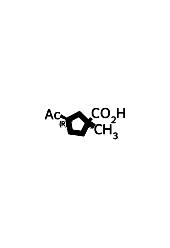 CC(=O)[C@@H]1CC[C@](C)(C(=O)O)C1